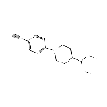 COC(OC)C1CCN(c2ccc(C#N)cn2)CC1